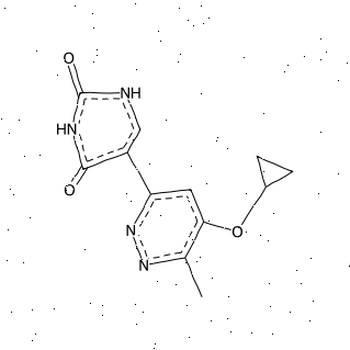 Cc1nnc(-c2c[nH]c(=O)[nH]c2=O)cc1OC1CC1